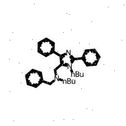 CCCCN(Cc1ccccc1)Cc1c(-c2ccccc2)nc(-c2ccccc2)n1CCCC